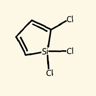 ClC1=CC=C[Si]1(Cl)Cl